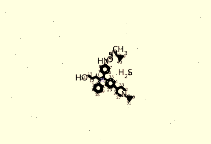 CN(SONc1ccc(/C(=C(\CCCO)c2ccccc2)c2ccc(C3CCN(C4CC4)CC3)cc2)cc1)C1CC1.S